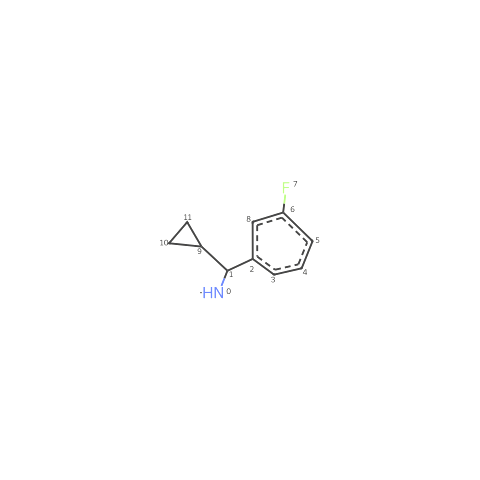 [NH]C(c1cccc(F)c1)C1CC1